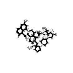 C#Cc1c(F)ccc2cc(O)cc(N3CCc4c(nc(OC[C@]5(C(C)(C)O)C[C@@H](F)CN5C5CCOCC5)nc4NCC4(N(C)C(=O)C=C)CCCC4)C3)c12